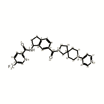 O=C(NC1CCc2ccc(C(=O)N3CCC4(CCN(c5ccncc5)CC4)C3)cc21)c1ccc(C(F)(F)F)cn1